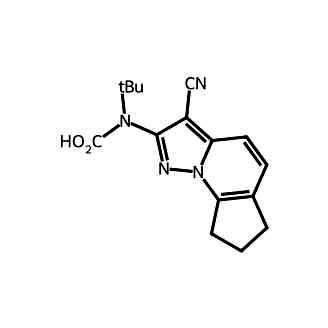 CC(C)(C)N(C(=O)O)c1nn2c3c(ccc2c1C#N)CCC3